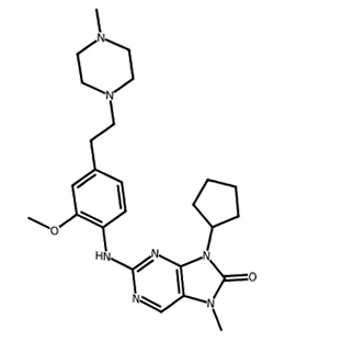 COc1cc(CCN2CCN(C)CC2)ccc1Nc1ncc2c(n1)n(C1CCCC1)c(=O)n2C